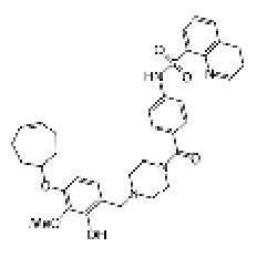 COc1c(OC2CCC=CCC2)ccc(CN2CCN(C(=O)c3ccc(NS(=O)(=O)c4cccc5c4N=CCC5)cc3)CC2)c1O